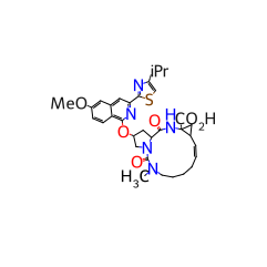 COc1ccc2c(OC3CC4C(=O)NC5(C(=O)O)CC5C=CCCCCN(C)C(=O)N4C3)nc(-c3nc(C(C)C)cs3)cc2c1